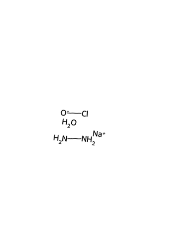 NN.O.[Na+].[O-]Cl